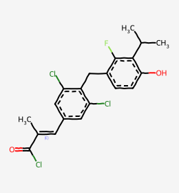 C/C(=C\c1cc(Cl)c(Cc2ccc(O)c(C(C)C)c2F)c(Cl)c1)C(=O)Cl